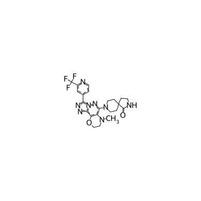 CN1CCOc2c1c(N1CCC3(CCNC3=O)CC1)nn1c(-c3ccnc(C(F)(F)F)c3)nnc21